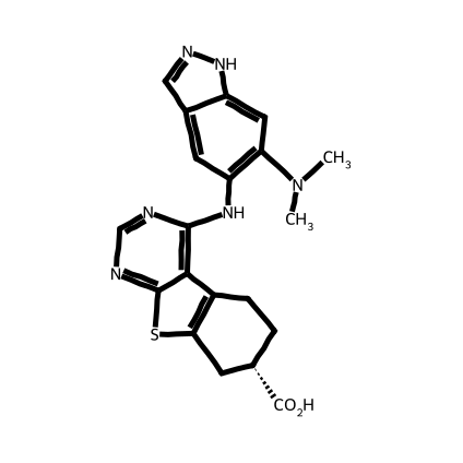 CN(C)c1cc2[nH]ncc2cc1Nc1ncnc2sc3c(c12)CC[C@H](C(=O)O)C3